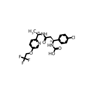 C[C@@H](NC(=O)C[C@H](NC(=O)O)c1ccc(Cl)cc1)c1ccc(OCC(F)(F)F)cn1